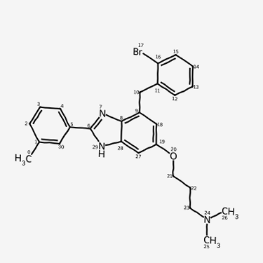 Cc1cccc(-c2nc3c(Cc4ccccc4Br)cc(OCCCN(C)C)cc3[nH]2)c1